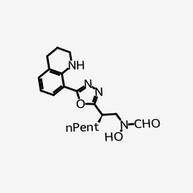 CCCCC[C@H](CN(O)C=O)c1nnc(-c2cccc3c2NCCC3)o1